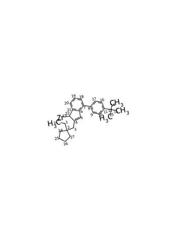 CCC1(CC2=Cc3c(-c4ccc(C(C)(C)C)cc4)cccc3[CH]2[Zr])CCCC1